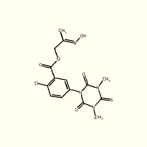 CC(COC(=O)c1cc(-n2c(=O)n(C)c(=S)n(C)c2=O)ccc1Cl)=NO